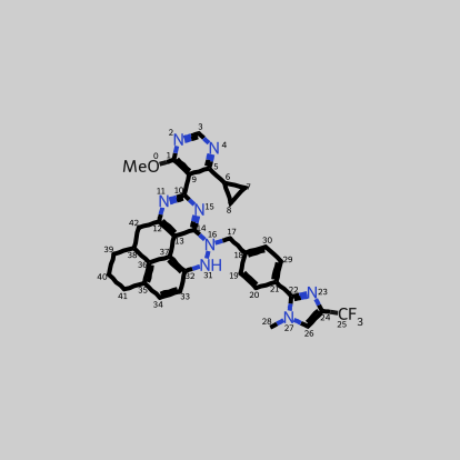 COc1ncnc(C2CC2)c1-c1nc2c3c(n1)N(Cc1ccc(-c4nc(C(F)(F)F)cn4C)cc1)Nc1ccc4c(c1-3)C(CCC4)C2